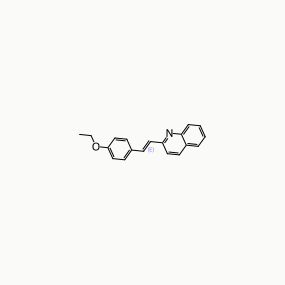 CCOc1ccc(/C=C/c2ccc3ccccc3n2)cc1